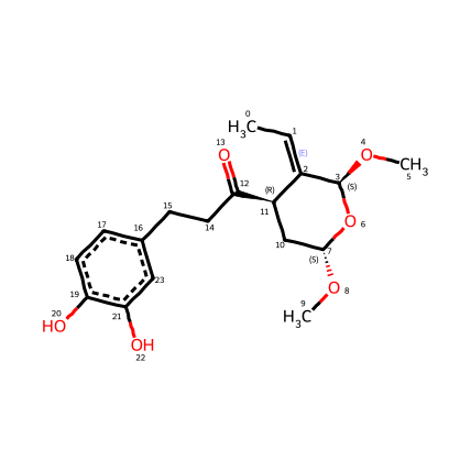 C/C=C1/[C@@H](OC)O[C@H](OC)C[C@H]1C(=O)CCc1ccc(O)c(O)c1